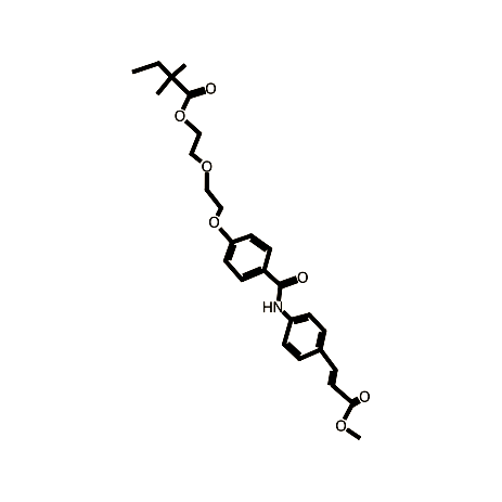 CCC(C)(C)C(=O)OCCOCCOc1ccc(C(=O)Nc2ccc(/C=C/C(=O)OC)cc2)cc1